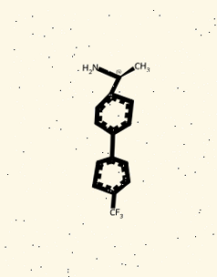 C[C@H](N)c1ccc(-c2ccc(C(F)(F)F)cc2)cc1